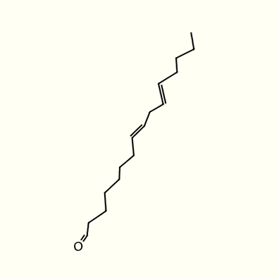 CCCCC=CCC=CCCCCCCC=O